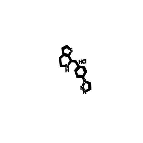 Cl.c1cn(-c2ccc(CC3NCCc4ccsc43)cc2)nn1